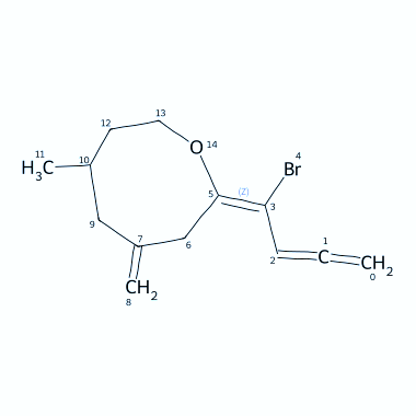 C=C=C/C(Br)=C1\CC(=C)CC(C)CCO1